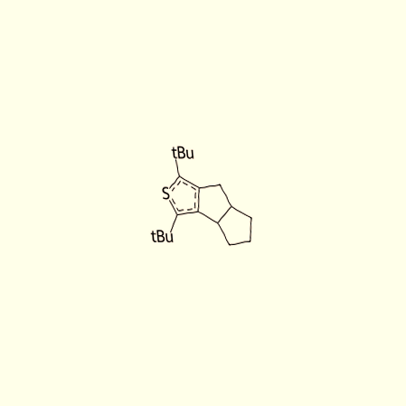 CC(C)(C)c1sc(C(C)(C)C)c2c1CC1CCCC21